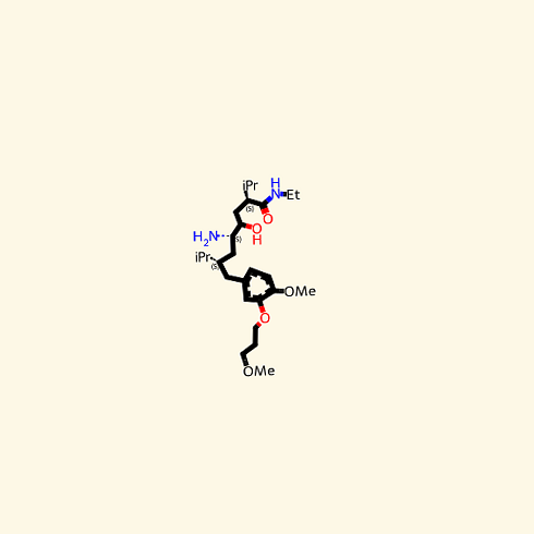 CCNC(=O)[C@@H](CC(O)[C@@H](N)C[C@H](Cc1ccc(OC)c(OCCCOC)c1)C(C)C)C(C)C